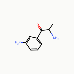 CC(N)C(=O)c1cccc(N)c1